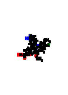 COCC(C)(C)c1c(C2CCC(C(=O)O)OC2)c2cc3[nH]ncc3cc2n1-c1ccc(F)c(C)c1